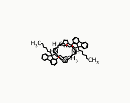 CCCCCCC1(CCCCCC)c2ccccc2-c2cccc(-c3c4nc(cc5ccc([nH]5)c(-c5cccc6c5C(CCCCCC)(CCCCCC)c5ccccc5-6)c5nc(cc6ccc3[nH]6)C=C5)C=C4)c21